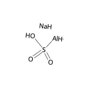 O=[S](=O)(O)[AlH].[NaH]